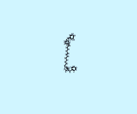 c1ccc(CN2CCN(CCCCCCCCCCCCN3CCN(Cc4ccccc4)C3)C2)cc1